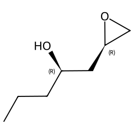 CCC[C@@H](O)C[C@@H]1CO1